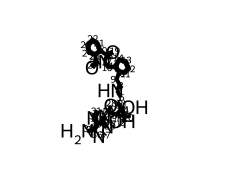 CC1(C)[C@]2(O)[C@@H](CNCCc3ccccc3CN3C(=O)c4ccccc4C3=O)O[C@@H](n3cnc4c(N)ncnc43)[C@]12O